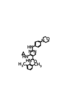 Cc1cccc(C)c1NC(=O)c1cnc(Nc2ccc(N3CCOCC3)cc2)nc1NC1CC1